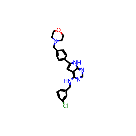 Clc1cccc(CNc2ncnc3[nH]c(-c4ccc(CN5CCOCC5)cc4)cc23)c1